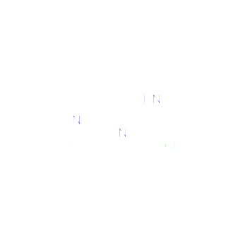 CCC(C)/N=C(\N=C(\Cl)NC)c1ccccc1